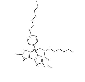 CCCCCCCc1ccc([Si]2(CC(CCCC)CCCCCC)c3cc(C)sc3-c3sc(C)cc32)cc1